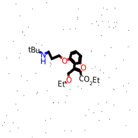 CCOCc1c(C(=O)OCC)oc2cccc(OCCCNC(C)(C)C)c12